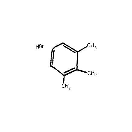 Br.Cc1cccc(C)c1C